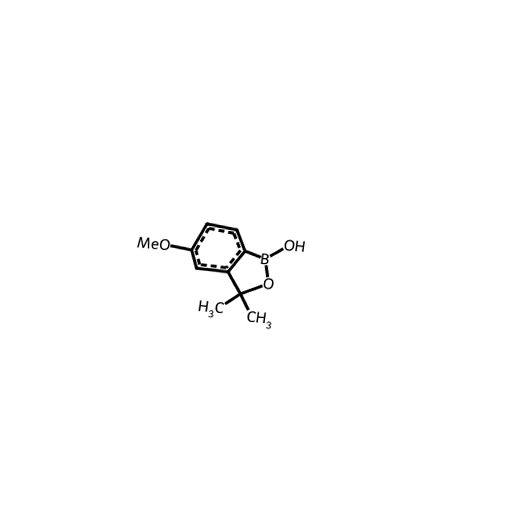 COc1ccc2c(c1)C(C)(C)OB2O